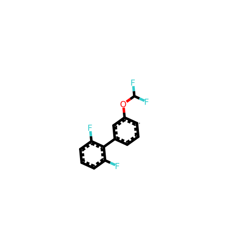 Fc1cccc(F)c1-c1cc[c]c(OC(F)F)c1